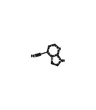 C#Cc1ccnc2[nH]ccc12